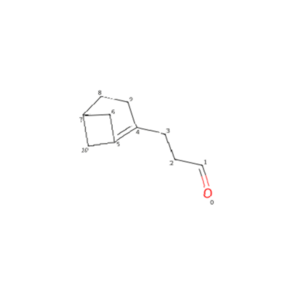 O=CCCC1=C2CC(CC1)C2